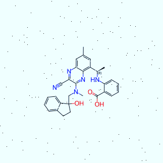 Cc1cc([C@@H](C)Nc2ccccc2C(=O)O)c2nc(N(C)CC3(O)CCc4ccccc43)c(C#N)nc2c1